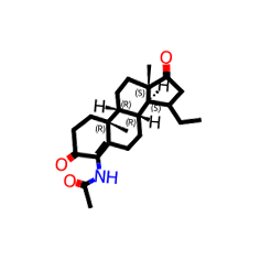 CCC1CC(=O)[C@@]2(C)CC[C@@H]3[C@@H](CCC4=C(NC(C)=O)C(=O)CC[C@@]43C)[C@H]12